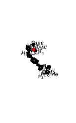 COC(=O)N[C@H](C(=O)N1CCC[C@H]1c1nc(-c2ccc(C#Cc3ccc4[nH]c([C@@H]5CCCN5C(=O)[C@@H](C)[C@@H](C)OC)nc4c3)cc2)c[nH]1)[C@@H](C)OC